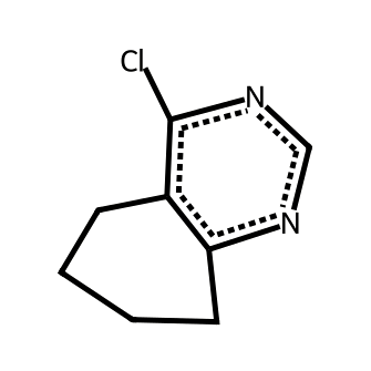 Clc1ncnc2c1CCCC2